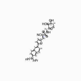 CCCN(CCC)c1ccc2cc(-c3ccc(/C=C(\C#N)S(=O)(=O)NC[C@H]4OSC[C@@H](O)[C@@H]4O)o3)ccc2c1